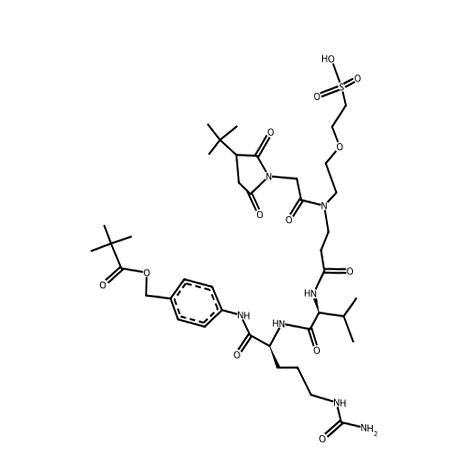 CC(C)[C@H](NC(=O)CCN(CCOCCS(=O)(=O)O)C(=O)CN1C(=O)CC(C(C)(C)C)C1=O)C(=O)N[C@@H](CCCNC(N)=O)C(=O)Nc1ccc(COC(=O)C(C)(C)C)cc1